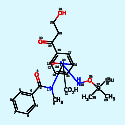 CN(C(=O)c1ccccc1)C1(C(=O)O)Oc2ccc(cc2C(=O)CCO)N1NO[Si](C)(C)C(C)(C)C